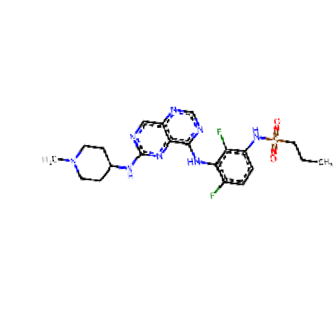 CCCS(=O)(=O)Nc1ccc(F)c(Nc2ncnc3cnc(NC4CCN(C)CC4)nc23)c1F